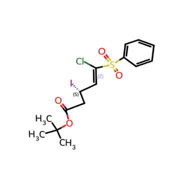 CC(C)(C)OC(=O)C[C@H](I)/C=C(\Cl)S(=O)(=O)c1ccccc1